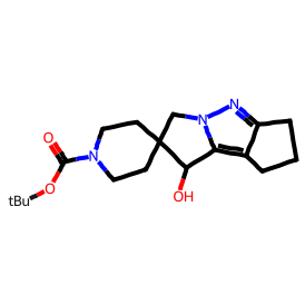 CC(C)(C)OC(=O)N1CCC2(CC1)Cn1nc3c(c1C2O)CCC3